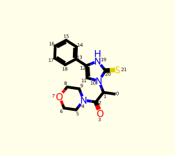 CC(C(=O)N1CCOCC1)n1cc(-c2ccccc2)[nH]c1=S